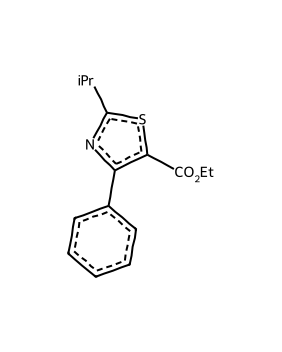 CCOC(=O)c1sc(C(C)C)nc1-c1ccccc1